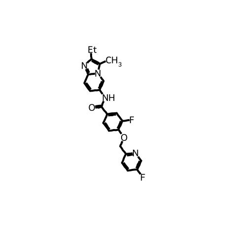 CCc1nc2ccc(NC(=O)c3ccc(OCc4ccc(F)cn4)c(F)c3)cn2c1C